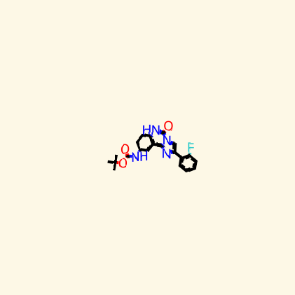 CC(C)(C)OC(=O)NC1CCc2[nH]c(=O)n3cc(-c4ccccc4F)nc3c2C1